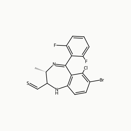 C[C@@H]1N=C(c2c(F)cccc2F)c2c(ccc(Br)c2Cl)NC1C=S